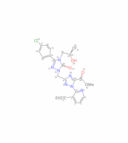 CCOC(=O)c1cccnc1-n1nc(Cn2nc(-c3ccc(Cl)cc3)n(C[C@H](O)C(F)(F)F)c2=O)nc1C(=O)OC